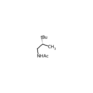 CC(=O)NC[C@@H](C)C(C)(C)C